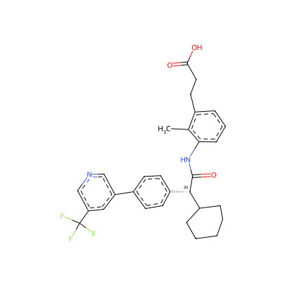 Cc1c(CCC(=O)O)cccc1NC(=O)[C@@H](c1ccc(-c2cncc(C(F)(F)F)c2)cc1)C1CCCCC1